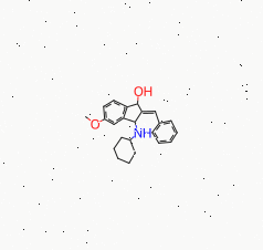 COc1ccc2c(c1)C(NC1CCCCC1)/C(=C\c1ccccc1)C2O